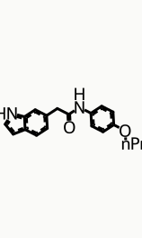 CCCOc1ccc(NC(=O)Cc2ccc3cc[nH]c3c2)cc1